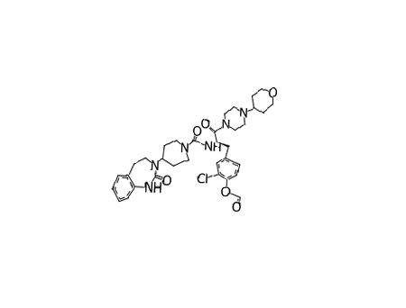 O=COc1ccc(C[C@@H](NC(=O)N2CCC(N3CCc4ccccc4NC3=O)CC2)C(=O)N2CCN(C3CCOCC3)CC2)cc1Cl